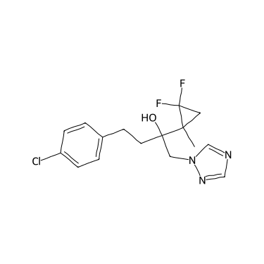 CC1(C(O)(CCc2ccc(Cl)cc2)Cn2cncn2)CC1(F)F